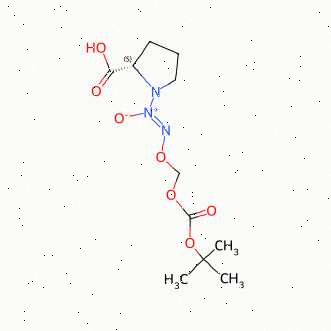 CC(C)(C)OC(=O)OCON=[N+]([O-])N1CCC[C@H]1C(=O)O